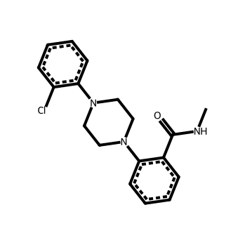 CNC(=O)c1ccccc1N1CCN(c2ccccc2Cl)CC1